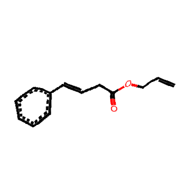 C=CCOC(=O)CC=Cc1ccccc1